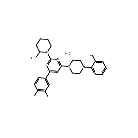 CC1CCCCN1c1nc(-c2ccc(F)c(F)c2)cc(N2CCN(c3ncccc3Cl)C[C@H]2C)n1